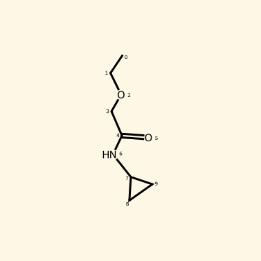 CCOCC(=O)NC1CC1